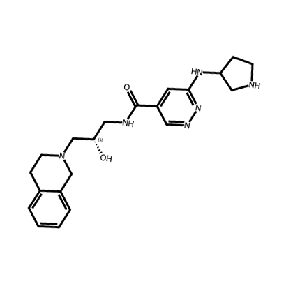 O=C(NC[C@H](O)CN1CCc2ccccc2C1)c1cnnc(NC2CCNC2)c1